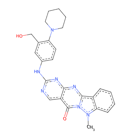 Cn1c2ccccc2c2nc3nc(Nc4ccc(N5CCCCC5)c(CO)c4)ncc3c(=O)n21